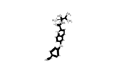 CC(C)[C@@](C)(O)NC(=O)c1ccc2cc(Oc3ccc(C#N)cc3)ccc2n1